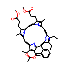 CCC1=C(CC)c2nc1cc1[nH]c(cc3nc(cc4[nH]c(c(CC)c4CC)c2-c2ccccc2COC(C)=O)C(C)=C3CCC(=O)OC)c(CCC(=O)OC)c1C